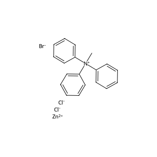 C[N+](c1ccccc1)(c1ccccc1)c1ccccc1.[Br-].[Cl-].[Cl-].[Zn+2]